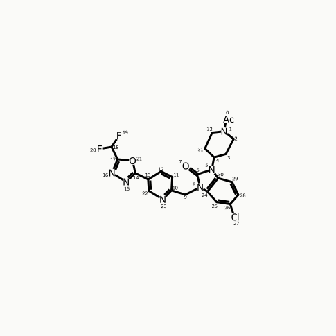 CC(=O)N1CCC(n2c(=O)n(Cc3ccc(-c4nnc(C(F)F)o4)cn3)c3cc(Cl)ccc32)CC1